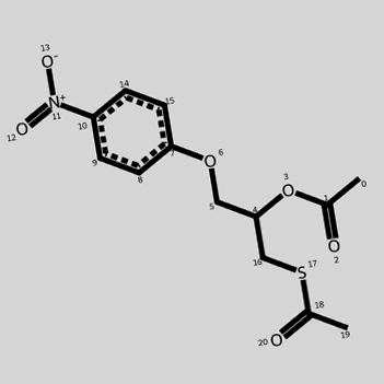 CC(=O)OC(COc1ccc([N+](=O)[O-])cc1)CSC(C)=O